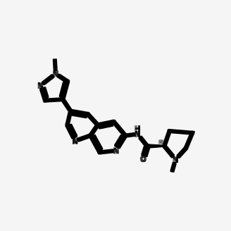 CN1CCC[C@@H]1C(=O)Nc1cc2cc(-c3cnn(C)c3)cnc2cn1